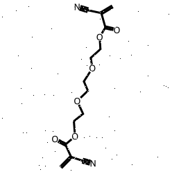 C=C(C#N)C(=O)OCCOCCOCCOC(=O)C(=C)C#N